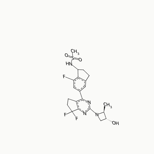 C[C@H]1[C@H](O)CN1c1nc(-c2cc(F)c3c(c2)CCC3NS(C)(=O)=O)c2c(n1)C(F)(F)CC2